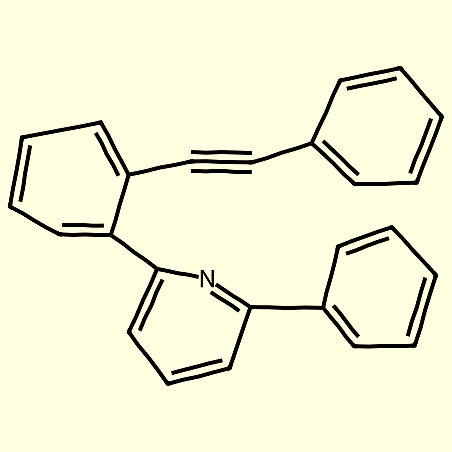 C(#Cc1ccccc1-c1cccc(-c2ccccc2)n1)c1ccccc1